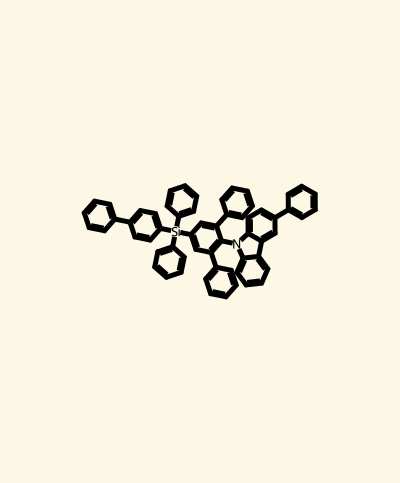 c1ccc(-c2ccc([Si](c3ccccc3)(c3ccccc3)c3cc(-c4ccccc4)c(-n4c5ccccc5c5cc(-c6ccccc6)ccc54)c(-c4ccccc4)c3)cc2)cc1